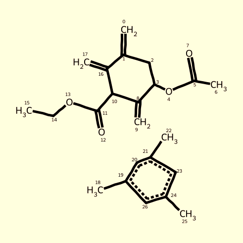 C=C1CC(OC(C)=O)C(=C)C(C(=O)OCC)C1=C.Cc1cc(C)cc(C)c1